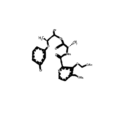 COc1ccnc(C(=O)N[C@@H](C)C(=O)OC(C(C)C)[C@H](C)Oc2cccc(Cl)c2)c1OCOC(C)=O